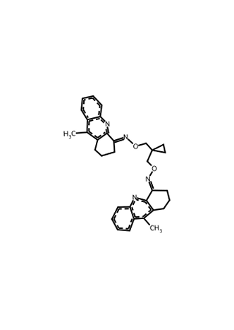 Cc1c2c(nc3ccccc13)/C(=N/OCC1(CO/N=C3\CCCc4c3nc3ccccc3c4C)CC1)CCC2